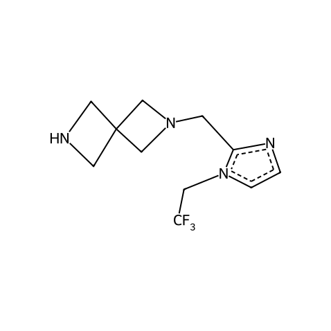 FC(F)(F)Cn1ccnc1CN1CC2(CNC2)C1